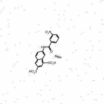 O=C(Nc1ccc2cc(S(=O)(=O)O)cc(S(=O)(=O)O)c2c1)c1cccc([N+](=O)[O-])c1.[Na].[Na]